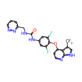 O=C(NCc1cccnn1)Nc1cc(F)c(Oc2ccnc3[nH]cc(C(F)(F)F)c23)c(F)c1